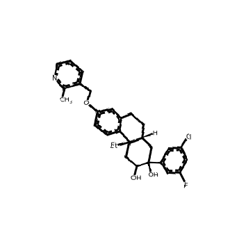 CCC12CC(O)C(O)(c3cc(F)cc(Cl)c3)C[C@H]1CCc1cc(OCc3cccnc3C)ccc12